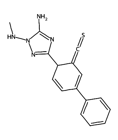 CNn1nc(C2C=CC(c3ccccc3)=CC2=C=S)nc1N